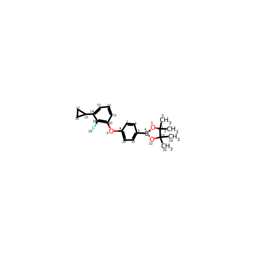 CC1(C)OB(c2ccc(Oc3cccc(C4CC4)c3F)cc2)OC1(C)C